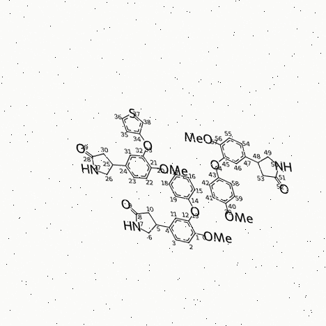 COc1ccc(C2CNC(=O)C2)cc1Oc1ccccc1.COc1ccc(C2CNC(=O)C2)cc1Oc1ccsc1.COc1ccc(Oc2cc(C3CNC(=O)C3)ccc2OC)cc1